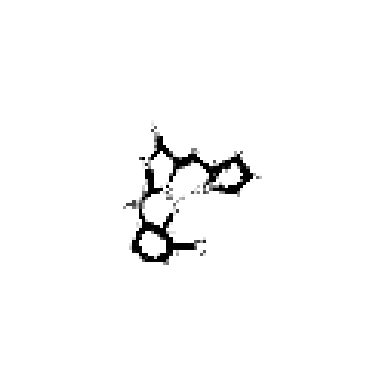 O=C1N=C(Nc2cccc(Cl)c2Cl)S/C1=C\c1ccco1